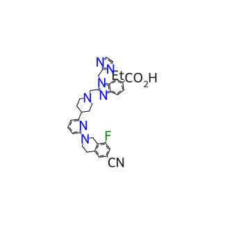 CCn1ccnc1Cn1c(CN2CCC(c3cccc(N4CCc5cc(C#N)cc(F)c5C4)n3)CC2)nc2ccc(C(=O)O)cc21